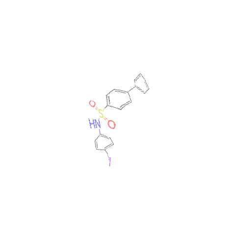 O=S(=O)(Nc1ccc(I)cc1)c1ccc(-c2ccccc2)cc1